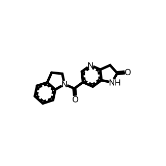 O=C1Cc2ncc(C(=O)N3CCc4ccccc43)cc2N1